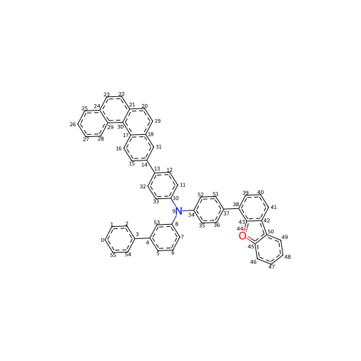 c1ccc(-c2cccc(N(c3ccc(-c4ccc5c(ccc6ccc7ccccc7c65)c4)cc3)c3ccc(-c4cccc5c4oc4ccccc45)cc3)c2)cc1